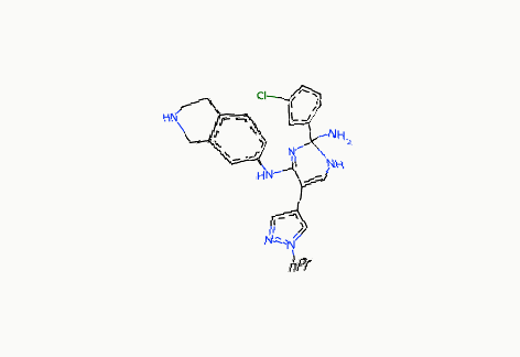 CCCn1cc(C2=CNC(N)(c3cccc(Cl)c3)N=C2Nc2ccc3c(c2)CNCC3)cn1